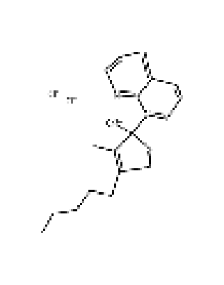 CCCCCC1=C(C)[C]([Cr+2])(c2cccc3cccnc23)C=C1.[Cl-].[Cl-]